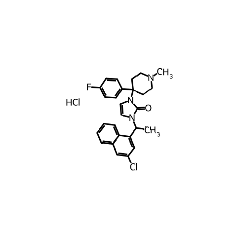 CC(c1cc(Cl)cc2ccccc12)n1ccn(C2(c3ccc(F)cc3)CCN(C)CC2)c1=O.Cl